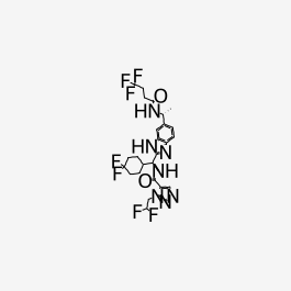 C[C@@H](NC(=O)CCC(F)(F)F)c1ccc2nc([C@@H](NC(=O)c3cnnn3CC(F)F)C3CCC(F)(F)CC3)[nH]c2c1